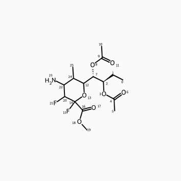 CC[C@@H](OC(C)=O)[C@@H](OC(C)=O)C1OC(F)(C(=O)OC)C(F)C(N)C1C